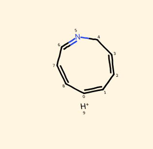 C1=CC=CCN=CC=C1.[H+]